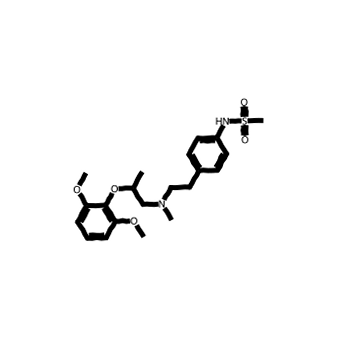 COc1cccc(OC)c1OC(C)CN(C)CCc1ccc(NS(C)(=O)=O)cc1